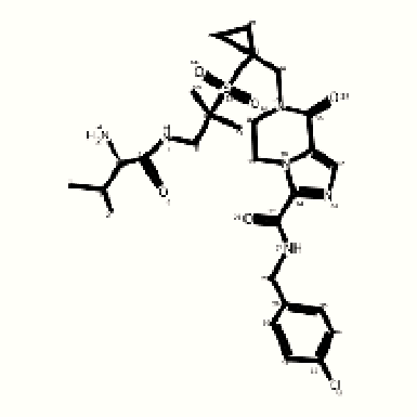 CC(C)[C@@H](N)C(=O)NCC(C)(C)S(=O)(=O)C1(CN2CCn3c(cnc3C(=O)NCc3ccc(Cl)cc3)C2=O)CC1